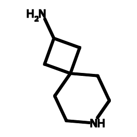 NC1CC2(CCNCC2)C1